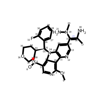 COc1ncc([S+](C)[O-])c2c1c1ncc(/C(=C(\C)N)N(C)N)cc1n2[C@H](c1ccccc1F)C1CCOCC1